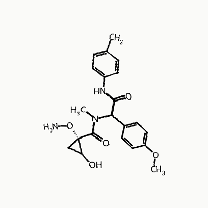 COc1ccc(C(C(=O)Nc2ccc(C)cc2)N(C)C(=O)[C@]2(ON)CC2O)cc1